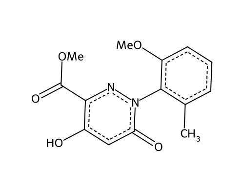 COC(=O)c1nn(-c2c(C)cccc2OC)c(=O)cc1O